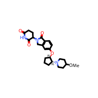 COC1CCN([C@@H]2CCC[C@H]2Oc2ccc3c(c2)CN(C2CCC(=O)NC2=O)C3=O)CC1